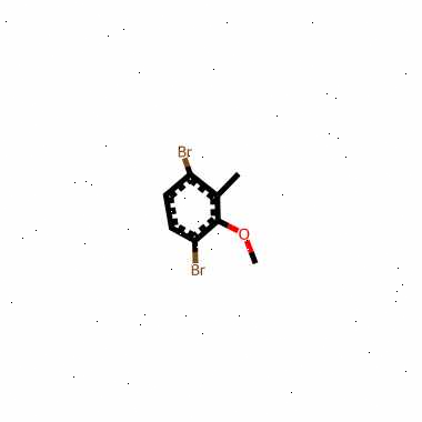 COc1c(Br)ccc(Br)c1C